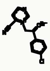 N#Cc1ccnc[n+]1CC(=O)c1ccc(Cl)cc1.[Br-]